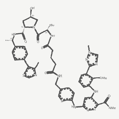 CNC(=O)c1nnc(Nc2ccc(CNC(=O)CCCC(=O)N[C@H](C(=O)N3C[C@H](O)C[C@H]3C(=O)N[C@@H](C)c3ccc(-c4scnc4C)cc3)C(C)(C)C)cn2)cc1Nc1cccc(-c2ncn(C)n2)c1OC